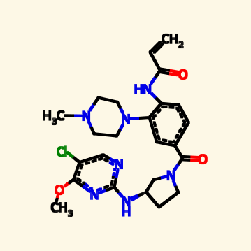 C=CC(=O)Nc1ccc(C(=O)N2CC[C@@H](Nc3ncc(Cl)c(OC)n3)C2)cc1N1CCN(C)CC1